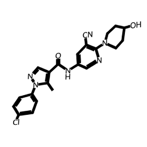 Cc1c(C(=O)Nc2cnc(N3CCC(O)CC3)c(C#N)c2)cnn1-c1ccc(Cl)cc1